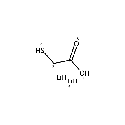 O=C(O)CS.[LiH].[LiH]